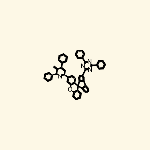 C=C1C(c2ccccc2)=CC(c2ccc3c(c2)Oc2ccccc2C32c3ccccc3-c3cc(-c4nc(-c5ccccc5)nc(-c5ccccc5)n4)ccc32)=NC1c1ccccc1